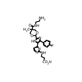 CC1(C(=O)NCCN)COC(c2nc(-c3ccc(F)cc3)c(-c3ccnc(NCCC(=O)O)n3)[nH]2)OC1